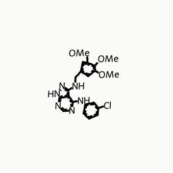 COc1cc(CNc2n[nH]c3ncnc(Nc4cccc(Cl)c4)c23)cc(OC)c1OC